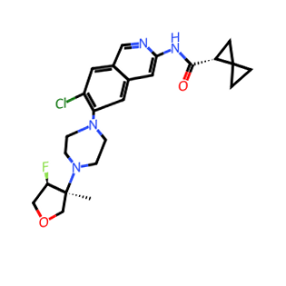 C[C@]1(N2CCN(c3cc4cc(NC(=O)[C@@H]5CC56CC6)ncc4cc3Cl)CC2)COC[C@H]1F